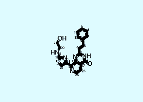 O=c1[nH]c(C=Cc2ccccc2)nc2c(-c3csc(NCCO)n3)nccc12